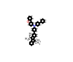 CC1(C)C2=C(c3ccccc31)C(C)(C)c1cc(-c3ccc(N(c4ccc(-c5ccccc5)cc4)c4ccc5oc6ccccc6c5c4)cc3)ccc12